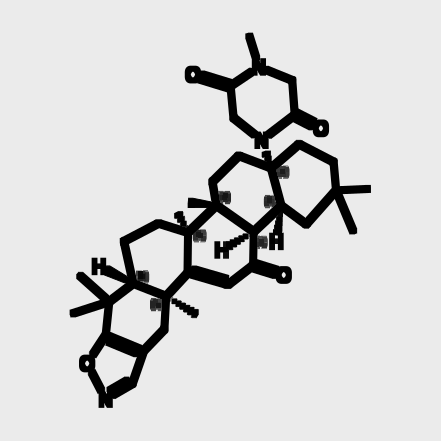 CN1CC(=O)N([C@]23CCC(C)(C)C[C@H]2[C@H]2C(=O)C=C4[C@@]5(C)Cc6cnoc6C(C)(C)[C@@H]5CC[C@@]4(C)[C@]2(C)CC3)CC1=O